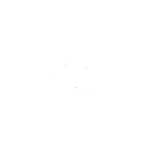 CC12CCC(C(=C(c3ccccc3)S(=O)(=O)O)C1=O)C2(C)C